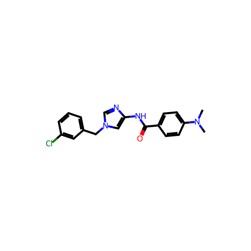 CN(C)c1ccc(C(=O)Nc2cn(Cc3cccc(Cl)c3)cn2)cc1